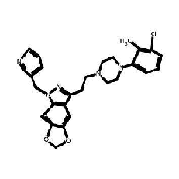 Cc1c(Cl)cccc1N1CCN(CCc2nn(Cc3cccnc3)c3cc4c(cc23)OCO4)CC1